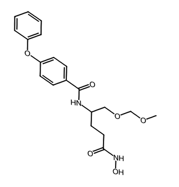 COCOCC(CCC(=O)NO)NC(=O)c1ccc(Oc2ccccc2)cc1